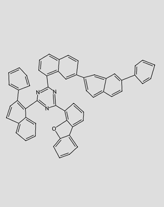 c1ccc(-c2ccc3ccc(-c4ccc5cccc(-c6nc(-c7c(-c8ccccc8)ccc8ccccc78)nc(-c7cccc8c7oc7ccccc78)n6)c5c4)cc3c2)cc1